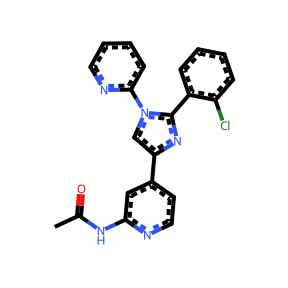 CC(=O)Nc1cc(-c2cn(-c3ccccn3)c(-c3ccccc3Cl)n2)ccn1